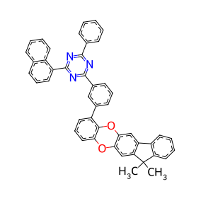 CC1(C)c2ccccc2-c2cc3c(cc21)Oc1cccc(-c2cccc(-c4nc(-c5ccccc5)nc(-c5cccc6ccccc56)n4)c2)c1O3